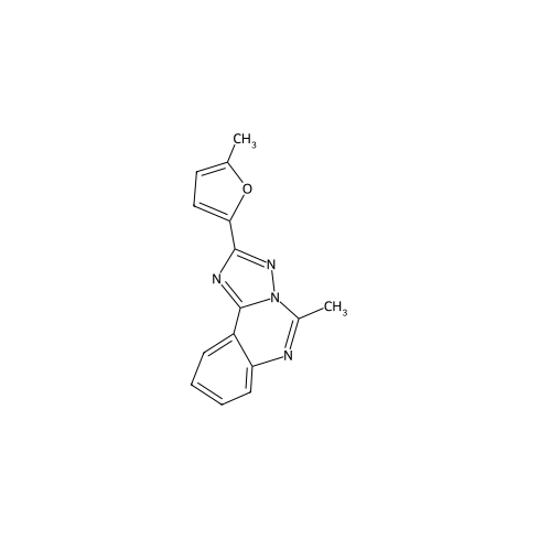 Cc1ccc(-c2nc3c4ccccc4nc(C)n3n2)o1